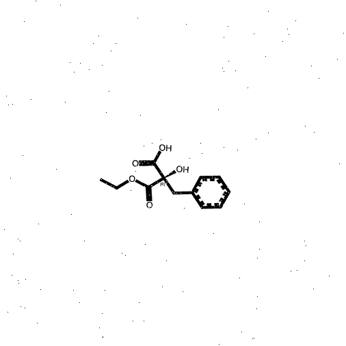 CCOC(=O)[C@@](O)(Cc1ccccc1)C(=O)O